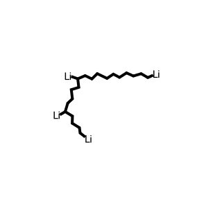 [Li][CH2]CCCCCCCCC[CH]([Li])CCCC[CH]([Li])CCC[CH2][Li]